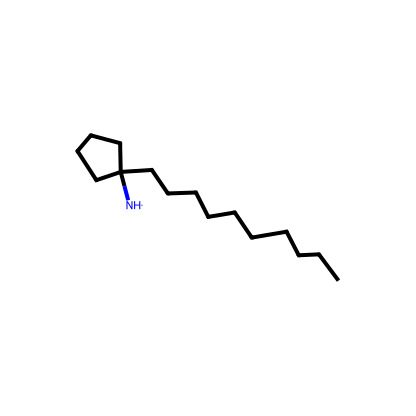 CCCCCCCCCCC1([NH])CCCC1